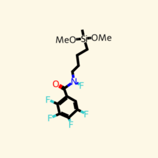 CO[Si](C)(CCCCN(F)C(=O)c1cc(F)c(F)c(F)c1F)OC